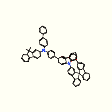 C=Cc1cccc(-c2ccc3c(c2)C2(c4ccccc4-3)c3ccccc3-c3ccc(-n4c5ccccc5c5cc(-c6ccc(N(c7ccc(-c8ccccc8)cc7)c7ccc8c(c7)C(C)(C)c7ccccc7-8)cc6)ccc54)cc32)c1